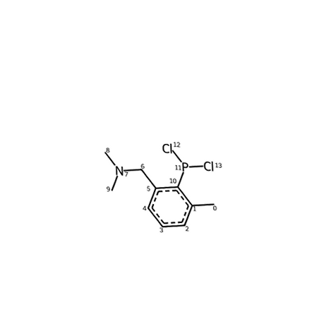 Cc1cccc(CN(C)C)c1P(Cl)Cl